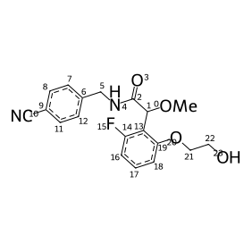 COC(C(=O)NCc1ccc(C#N)cc1)c1c(F)cccc1OCCO